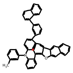 Cc1cccc(N(c2ccc(-c3cccc(-c4cccc5ccccc45)c3)cc2)c2ccccc2-c2cccc3c2oc2cc4ccccc4cc23)c1